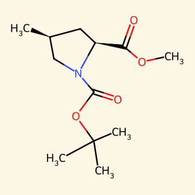 COC(=O)[C@@H]1C[C@H](C)CN1C(=O)OC(C)(C)C